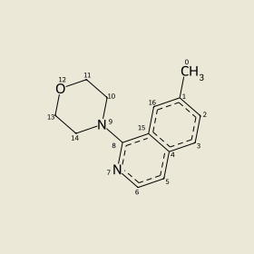 Cc1ccc2ccnc(N3CCOCC3)c2c1